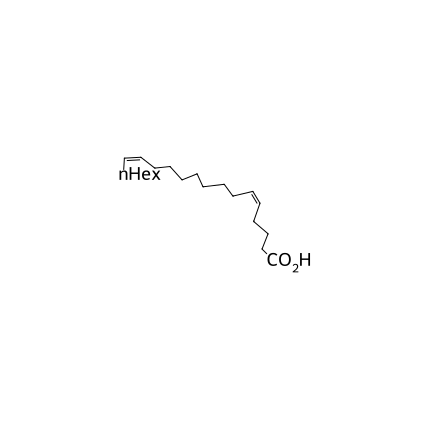 CCCCCC/C=C\CCCCCCC/C=C\CCCC(=O)O